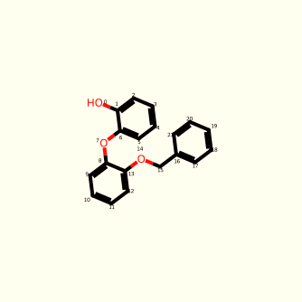 Oc1ccccc1Oc1ccccc1OCc1ccccc1